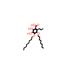 CCCCCCCCOc1c(O)c(O)c(C(=O)O)c(CCC)c1OCCCCCCCC